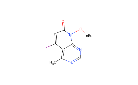 CCCCOn1c(=O)cc(I)c2c(C)ncnc21